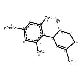 CCCCCc1cc(OC(C)=O)c(C2C=C(C)CC[C@H]2C(C)C)c(OC(C)=O)c1